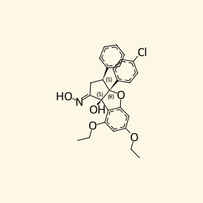 CCOc1cc(OCC)c2c(c1)O[C@@]1(c3ccc(Cl)cc3)[C@H](c3ccccc3)CC(=NO)[C@@]21O